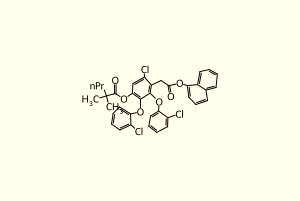 CCCC(C)(C)C(=O)Oc1cc(Cl)c(CC(=O)Oc2cccc3ccccc23)c(Oc2ccccc2Cl)c1Oc1ccccc1Cl